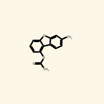 CC(=O)Oc1cccc2oc3cc(C)ccc3c12